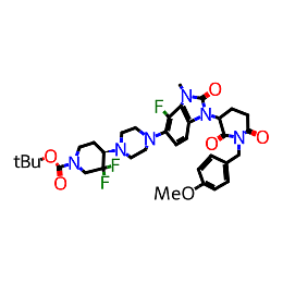 COc1ccc(CN2C(=O)CCC(n3c(=O)n(C)c4c(F)c(N5CCN([C@@H]6CCN(C(=O)OC(C)(C)C)CC6(F)F)CC5)ccc43)C2=O)cc1